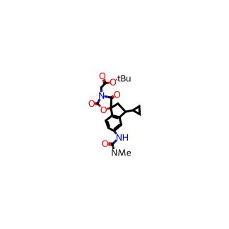 CNC(=O)Nc1ccc2c(c1)C(C1CC1)CC21OC(=O)N(CC(=O)OC(C)(C)C)C1=O